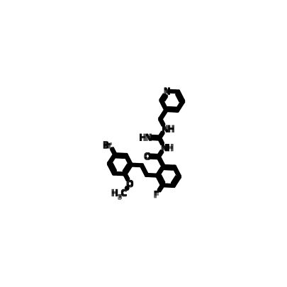 COc1ccc(Br)cc1CCc1c(F)cccc1C(=O)NC(=N)NCc1cccnc1